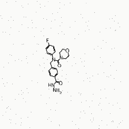 NNC(=O)c1ccc(CN(C(=O)N2CCOCC2)c2ccc(F)cc2)cc1